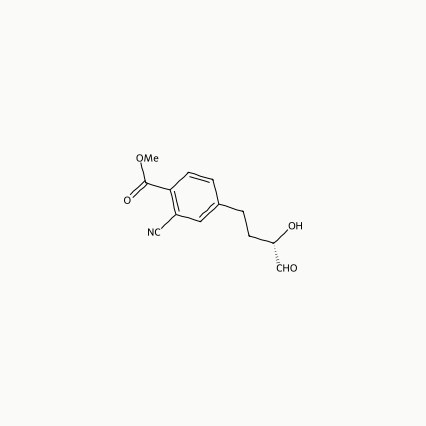 COC(=O)c1ccc(CC[C@H](O)C=O)cc1C#N